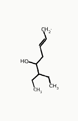 [CH2]/C=C/CC(O)C(CC)CC